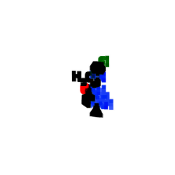 Cn1c(CCNC(=O)c2cccn(C(=N)C3CC3)c2=N)nc2cc(Cl)ccc21